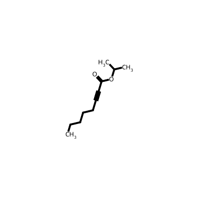 CCCCCC#CC(=O)OC(C)C